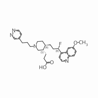 COc1ccc2nccc([C@H](F)CC[C@@H]3CCN(CCCc4ccnnc4)C[C@H]3CCC(=O)O)c2c1